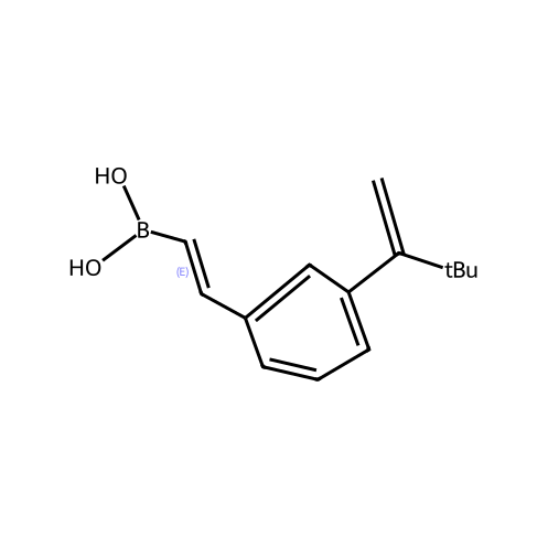 C=C(c1cccc(/C=C/B(O)O)c1)C(C)(C)C